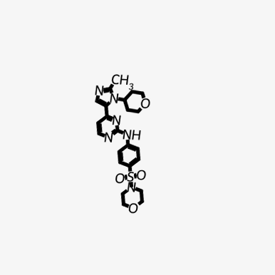 Cc1ncc(-c2ccnc(Nc3ccc(S(=O)(=O)N4CCOCC4)cc3)n2)n1C1CCOCC1